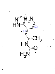 C=C(/C=C(\C=C/N)c1ccn[nH]1)NC(N)=O